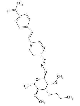 CCCO[C@@H]1[C@@H](OC)[C@H](C)O[C@@H](ON=Cc2ccc(C=Cc3ccc(C(C)=O)cc3)cc2)[C@@H]1OC